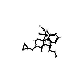 CCCCC1C(C)N(CC2CC2)CCC1(c1c(C)cccc1C)C(C)(C)CC